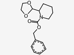 O=C(OCc1ccccc1)N1CCCCC1C1OCCO1